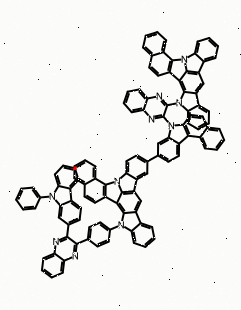 c1ccc(-n2c3ccccc3c3ccc(-c4nc5ccccc5nc4-c4ccc(-n5c6ccccc6c6cc7c8cc(-c9ccc%10c%11c%12ccccc%12ccc%11n(-c%11nc%12ccccc%12nc%11-n%11c%12ccccc%12c%12cc%13c%14ccccc%14n%14c%15c%16ccccc%16ccc%15c(c%12%11)c%13%14)c%10c9)ccc8n8c9c%10ccccc%10ccc9c(c65)c78)cc4)cc32)cc1